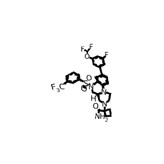 NC(=O)C1(N2CCN3c4ccc(-c5cc(F)cc(OC(F)F)c5)cc4N(S(=O)(=O)c4cccc(C(F)(F)F)c4)C[C@@H]3C2)CCC1